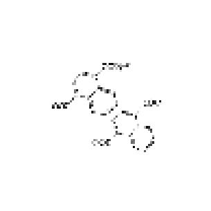 O=C([O-])c1ccc(C(=O)[O-])c2ccccc12.O=C([O-])c1ccc(C(=O)[O-])c2ccccc12.[Th+4]